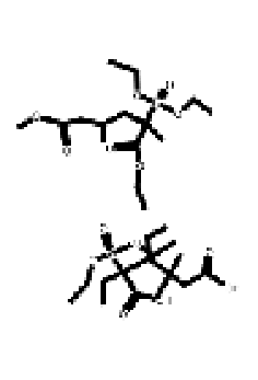 CCOC(=O)C(C)(CC(C)CC(=O)OC)P(=O)(OCC)OCC.CCOP(=O)(OCC)C(CC)(C(=O)O)C(CC)C(C)(C)CC(=O)O